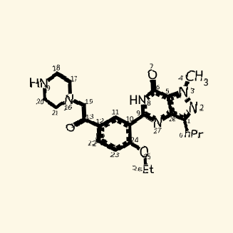 CCCc1nn(C)c2c(=O)[nH]c(-c3cc(C(=O)CN4CCNCC4)ccc3OCC)nc12